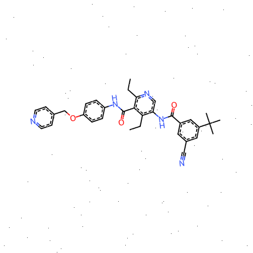 CCc1ncc(NC(=O)c2cc(C#N)cc(C(C)(C)C)c2)c(CC)c1C(=O)Nc1ccc(OCc2ccncc2)cc1